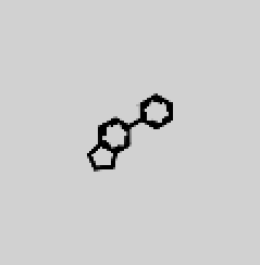 [c]1ccccc1-c1ccc2c(c1)CCC2